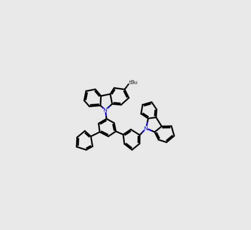 CC(C)(C)c1ccc2c(c1)c1ccccc1n2-c1cc(-c2ccccc2)cc(-c2cccc(-n3c4ccccc4c4ccccc43)c2)c1